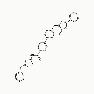 O=C(N[C@H]1CCN(Cc2ccccc2)C1)c1ccc(-c2ccc(CN3C[C@@H](c4ccccc4)OC3=O)cc2)cc1